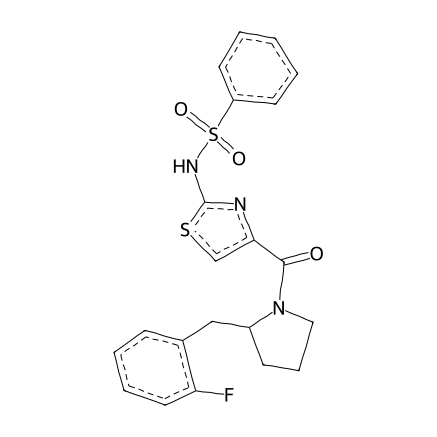 O=C(c1csc(NS(=O)(=O)c2ccccc2)n1)N1CCCC1Cc1ccccc1F